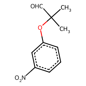 CC(C)(C=O)Oc1cccc([N+](=O)[O-])c1